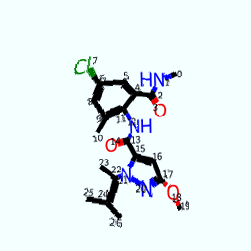 CNC(=O)c1cc(Cl)cc(C)c1NC(=O)c1cc(OC)nn1C(C)=C(C)C